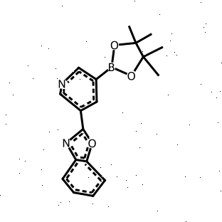 CC1(C)OB(c2cncc(-c3nc4ccccc4o3)c2)OC1(C)C